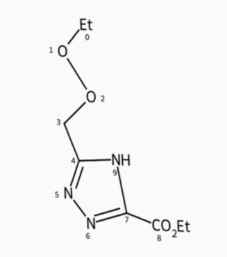 CCOOCc1nnc(C(=O)OCC)[nH]1